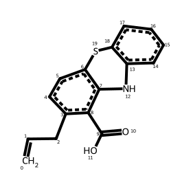 C=CCc1ccc2c(c1C(=O)O)Nc1ccccc1S2